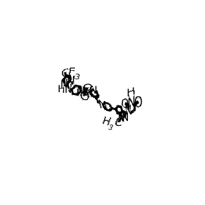 Cn1nc(N2CCC(=O)NC2=O)c2ccc(C3CCN(Cc4ccnc(S(=O)(=O)N5CCC(Nc6ncc(C(F)(F)F)cn6)CC5)c4)CC3)cc21